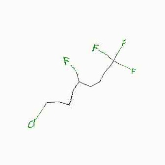 FC(CCCl)CC(F)(F)F